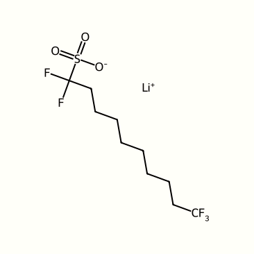 O=S(=O)([O-])C(F)(F)CCCCCCCCC(F)(F)F.[Li+]